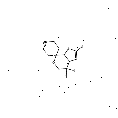 FC1=CC2C(S1)C1(CCNCC1)OCC2(F)F